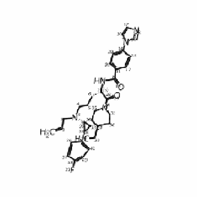 C=CCN(CCC[C@H](NC(=O)c1ccc(-n2ccnn2)cc1)C(=O)N1CCC(CC)CC1)[C@@H]1C[C@H]1c1ccc(F)cc1